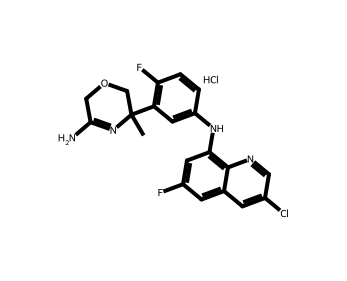 CC1(c2cc(Nc3cc(F)cc4cc(Cl)cnc34)ccc2F)COCC(N)=N1.Cl